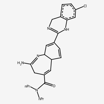 CCCN(CCC)C(=O)C1=CC2C=CC(C3=NCc4ccc(Cl)cc4N3)=CC2N=C(N)C1